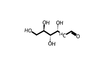 O=C[14CH2][C@@H](O)[C@H](O)[C@H](O)CO